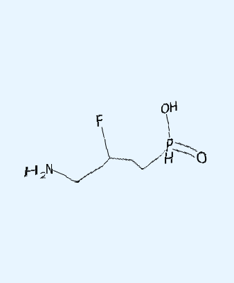 NCC(F)C[PH](=O)O